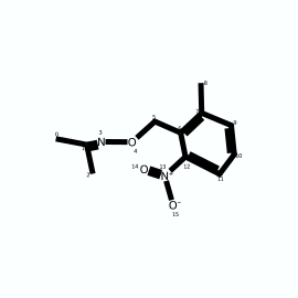 CC(C)=NOCc1c(C)cccc1[N+](=O)[O-]